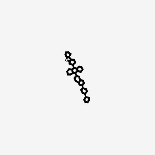 c1ccc(-c2ccc(-c3ccc4cc(-c5c6ccccc6c(-c6ccc7c(c6)oc6ccccc67)c6ccccc56)ccc4c3)cc2)cc1